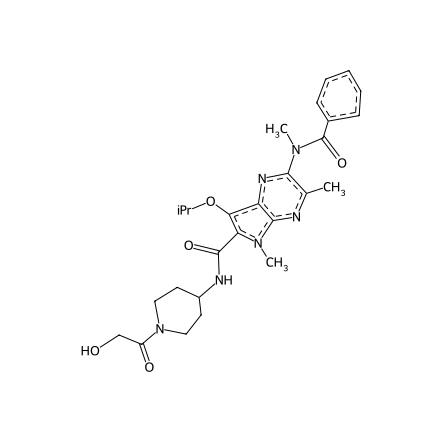 Cc1nc2c(nc1N(C)C(=O)c1ccccc1)c(OC(C)C)c(C(=O)NC1CCN(C(=O)CO)CC1)n2C